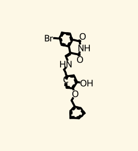 O=C1NC(=O)c2ccc(Br)cc2C1=CNCc1ccc(OCc2ccccc2)c(O)c1